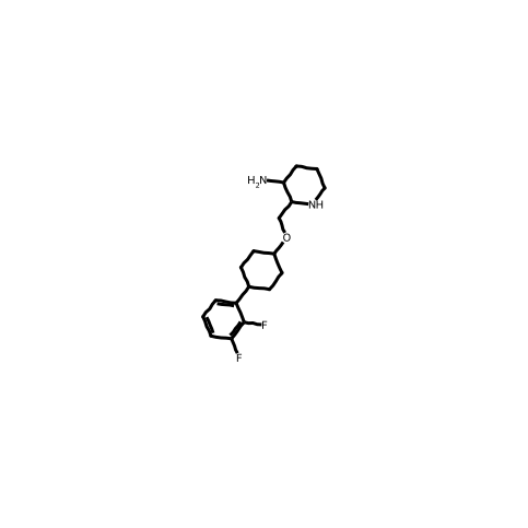 NC1CCCNC1COC1CCC(c2cccc(F)c2F)CC1